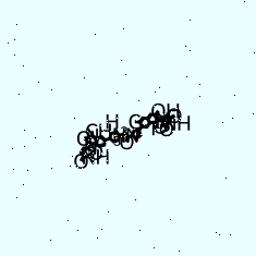 Cc1cc2cc(O)c(N3CC(=O)NS3(=O)=O)c(F)c2cc1C1=CCN(C(=O)CN2CCC(c3ccc4c(c3)n(C)c(=O)n4C3CCC(=O)NC3=O)CC2)C1